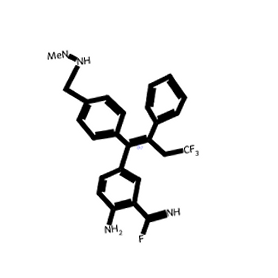 CNNCc1ccc(/C(=C(/CC(F)(F)F)c2ccccc2)c2ccc(N)c(C(=N)F)c2)cc1